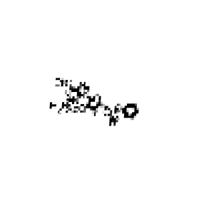 CCOc1nc(N)nc2c1ncn2[C@@H]1O[C@H](CO[PH](=O)Oc2ccccc2)[C@@H](C)[C@H]1OC(C)=O